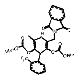 COC(=O)OC1=C(C)NC(CN2C(=O)c3ccccc3C2=O)=C(OC(=O)OC)C1c1ccccc1C(F)(F)F